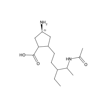 CCC(CCC1C[C@H](N)CC1C(=O)O)C(C)NC(C)=O